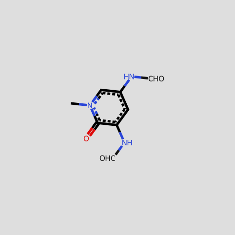 Cn1cc(NC=O)cc(NC=O)c1=O